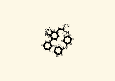 N#CC(C#N)=Cc1ccc(-c2ccccc2)c2nsnc12.c1ccc(Nc2ccccc2)cc1